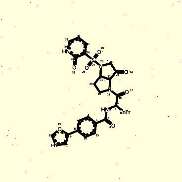 CCCC(NC(=O)c1ccc(-c2cnco2)cc1)C(=O)N1CCC2C1C(=O)CN2S(=O)(=O)c1ccc[nH]c1=O